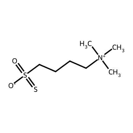 C[N+](C)(C)CCCCS(=O)([O-])=S